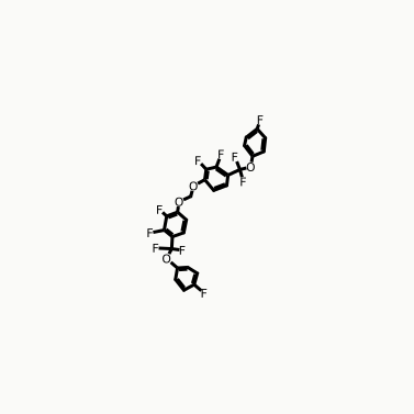 Fc1ccc(OC(F)(F)c2ccc(OCOc3ccc(C(F)(F)Oc4ccc(F)cc4)c(F)c3F)c(F)c2F)cc1